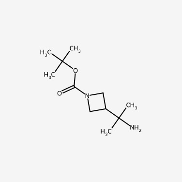 CC(C)(C)OC(=O)N1CC(C(C)(C)N)C1